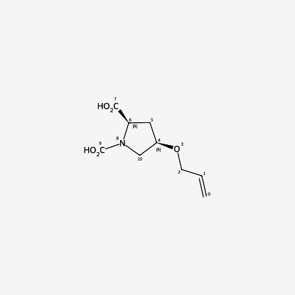 C=CCO[C@@H]1C[C@H](C(=O)O)N(C(=O)O)C1